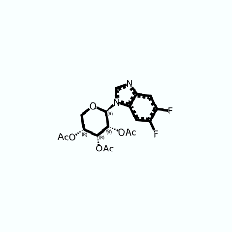 CC(=O)O[C@@H]1[C@H](OC(C)=O)[C@H](OC(C)=O)CO[C@H]1n1cnc2cc(F)c(F)cc21